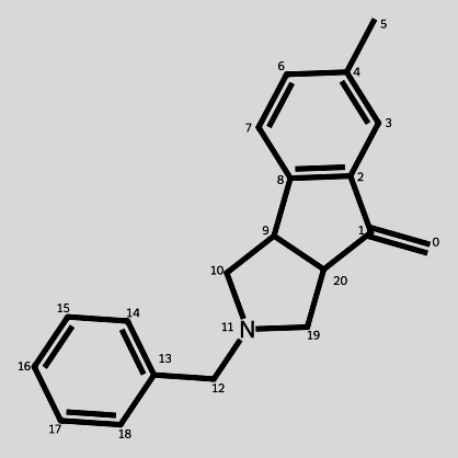 C=C1c2cc(C)ccc2C2CN(Cc3ccccc3)CC12